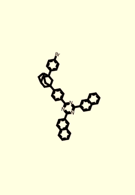 Brc1ccc(C23CC4CC2CC(c2ccc(-c5nc(-c6ccc7ccccc7c6)nc(-c6ccc7ccccc7c6)n5)cc2)(C4)C3)cc1